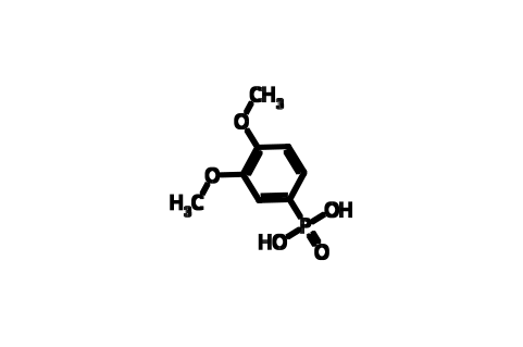 COc1ccc(P(=O)(O)O)cc1OC